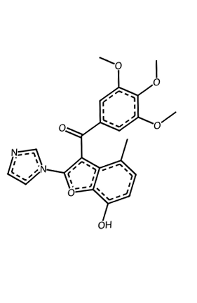 COc1cc(C(=O)c2c(-n3ccnc3)oc3c(O)ccc(C)c23)cc(OC)c1OC